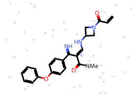 C=CC(=O)N1CC(N/C=C(\C(=N)c2ccc(Oc3ccccc3)cc2)C(=O)NC)C1